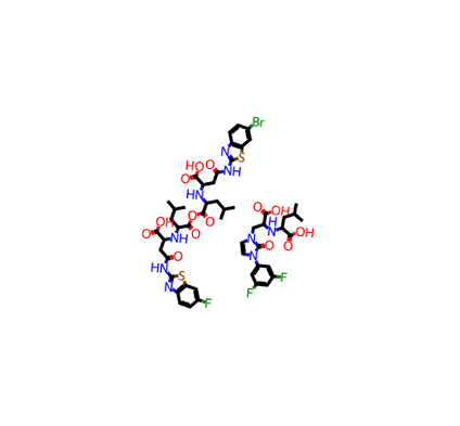 CC(C)CC(NC(CC(=O)Nc1nc2ccc(F)cc2s1)C(=O)O)C(=O)OC(=O)C(CC(C)C)NC(CC(=O)Nc1nc2ccc(Br)cc2s1)C(=O)O.CC(C)CC(NC(Cn1ccn(-c2cc(F)cc(F)c2)c1=O)C(=O)O)C(=O)O